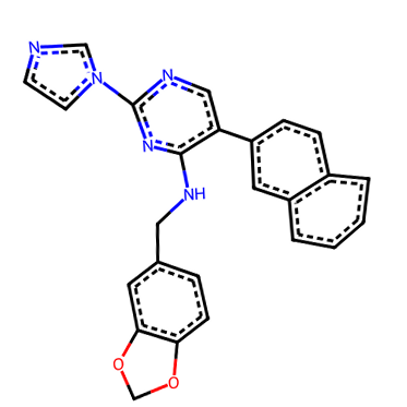 c1ccc2cc(-c3cnc(-n4ccnc4)nc3NCc3ccc4c(c3)OCO4)ccc2c1